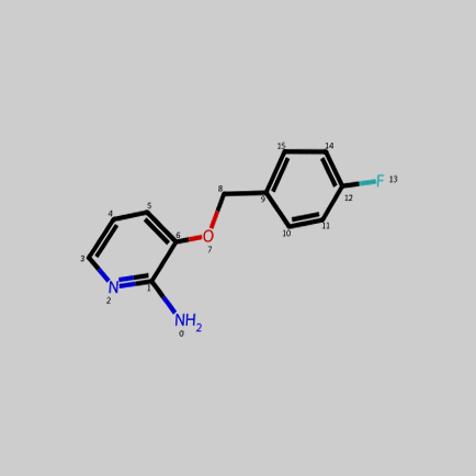 Nc1ncccc1OCc1ccc(F)cc1